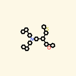 c1ccc2c(-c3ccc(N(c4ccc(-c5cc(-c6ccc7oc8ccccc8c7c6)cc(-c6ccc7sc8ccccc8c7c6)c5)cc4)c4ccc(-c5cccc6ccccc56)cc4)cc3)cccc2c1